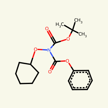 CC(C)(C)OC(=O)N(OC1CCCCC1)C(=O)Oc1ccccc1